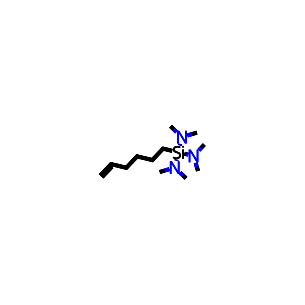 C=CCCCC[Si](N(C)C)(N(C)C)N(C)C